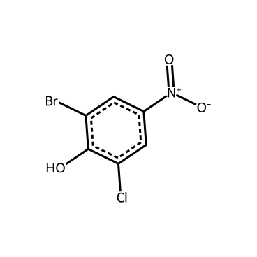 O=[N+]([O-])c1cc(Cl)c(O)c(Br)c1